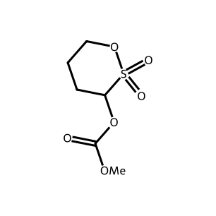 COC(=O)OC1CCCOS1(=O)=O